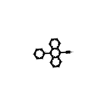 N#Cc1c2ccccc2c(-c2ccccc2)c2ccccc12